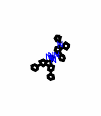 c1ccc(-c2ccc3c(c2)c2cc(-c4ccccc4)ccc2c2nc(-n4c5ccccc5c5c6c7ccccc7n(-c7ccccc7)c6ccc54)nnc32)cc1